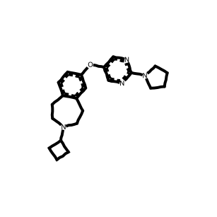 c1cc2c(cc1Oc1cnc(N3CCCC3)nc1)CCN(C1CCC1)CC2